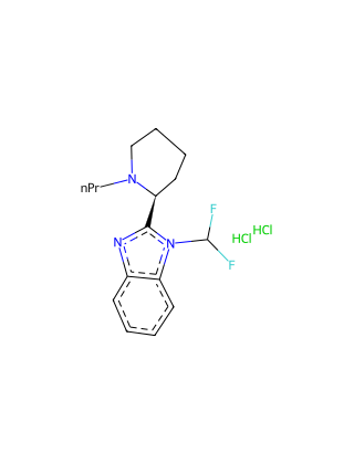 CCCN1CCCC[C@H]1c1nc2ccccc2n1C(F)F.Cl.Cl